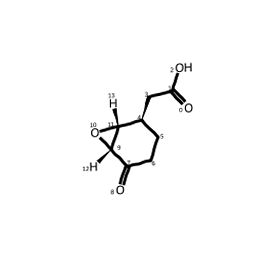 O=C(O)C[C@H]1CCC(=O)[C@@H]2O[C@H]12